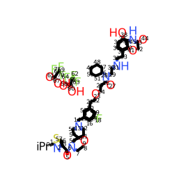 CC(C)c1nc(C(=O)N2CCOC3(CCN(Cc4cc(F)cc(CCOCCC(=O)N(CCNCCc5ccc(O)c6c5OCC(=O)N6)C5CCCCC5)c4)CC3)C2)cs1.O=C(O)C(F)(F)F.O=C(O)C(F)(F)F